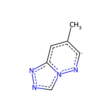 Cc1[c]nn2cnnc2c1